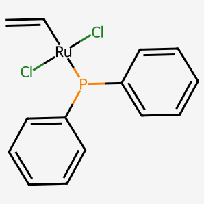 C=[CH][Ru]([Cl])([Cl])[P](c1ccccc1)c1ccccc1